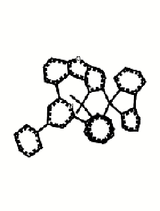 CC1(C)c2ccccc2C2(c3ccccc3-c3ccccc32)c2ccc3oc4cccc(-c5cc(-c6ccccc6)cc(-c6ccccc6)n5)c4c3c21